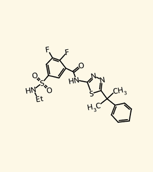 CCNS(=O)(=O)c1cc(F)c(F)c(C(=O)Nc2nnc(C(C)(C)c3ccccc3)s2)c1